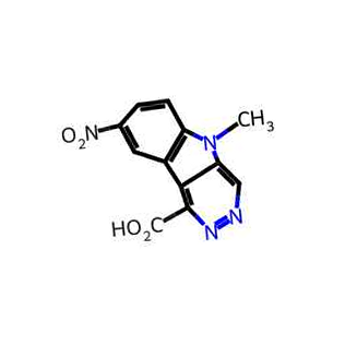 Cn1c2ccc([N+](=O)[O-])cc2c2c(C(=O)O)nncc21